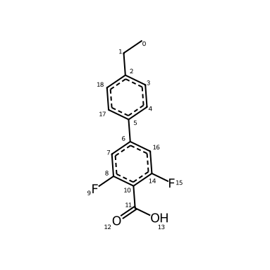 CCc1ccc(-c2cc(F)c(C(=O)O)c(F)c2)cc1